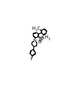 Cc1cccc(C)c1-c1cccc(N2CCC(c3ccc(F)cc3)CC2)c1[N+](=O)[O-]